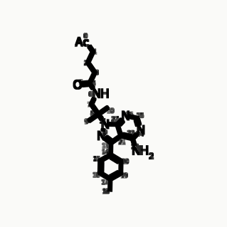 CC(=O)CCCC(=O)NCC(C)(C)n1nc(-c2ccc(C)cc2)c2c(N)ncnc21